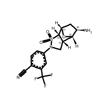 N#Cc1ccc(N2C[C@H]3[C@@H]4O[C@@H](C[C@H]4N)[C@H]3S2(=O)=O)cc1C(F)(F)F